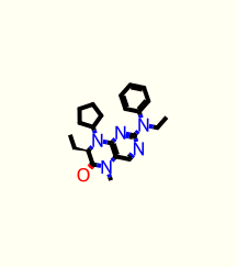 CC[C@@H]1C(=O)N(C)c2cnc(N(CC)c3ccccc3)nc2N1C1CCCC1